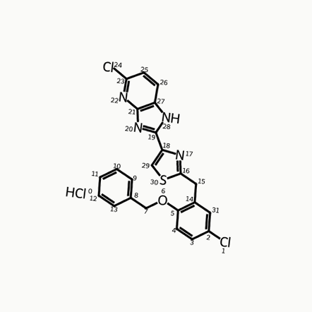 Cl.Clc1ccc(OCc2ccccc2)c(Cc2nc(-c3nc4nc(Cl)ccc4[nH]3)cs2)c1